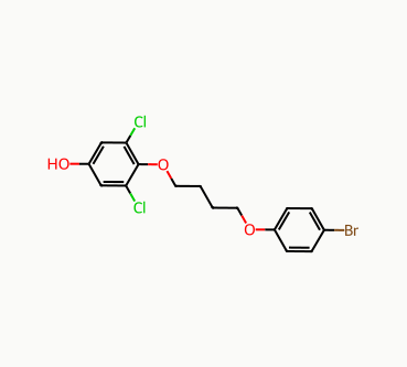 Oc1cc(Cl)c(OCCCCOc2ccc(Br)cc2)c(Cl)c1